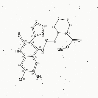 CC(C)(C)OC(=O)N1CCCCC1CCOc1c(-c2cccs2)c(=O)[nH]c2cc(Cl)c(N)cc12